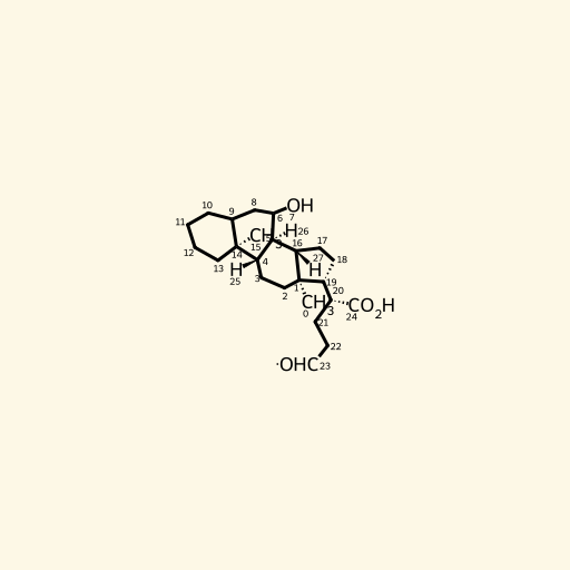 C[C@]12CC[C@H]3[C@@H](C(O)CC4CCCC[C@@]43C)[C@@H]1CC[C@@H]2[C@@H](CC[C]=O)C(=O)O